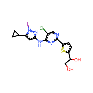 OCC(O)c1ccc(-c2ncc(Cl)c(Nc3cc(C4CC4)n(I)n3)n2)s1